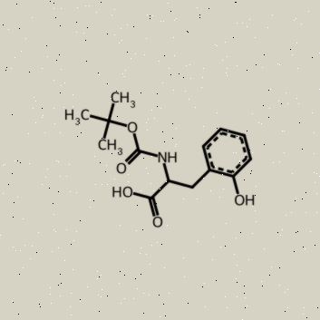 CC(C)(C)OC(=O)NC(Cc1ccccc1O)C(=O)O